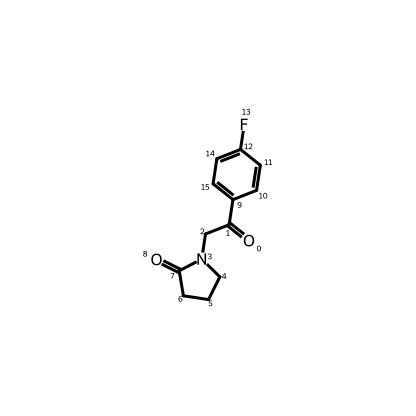 O=C(CN1CCCC1=O)c1ccc(F)cc1